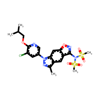 Cc1nn(-c2cnc(OCC(C)C)c(Cl)c2)c2cc3onc(N(S(C)(=O)=O)S(C)(=O)=O)c3cc12